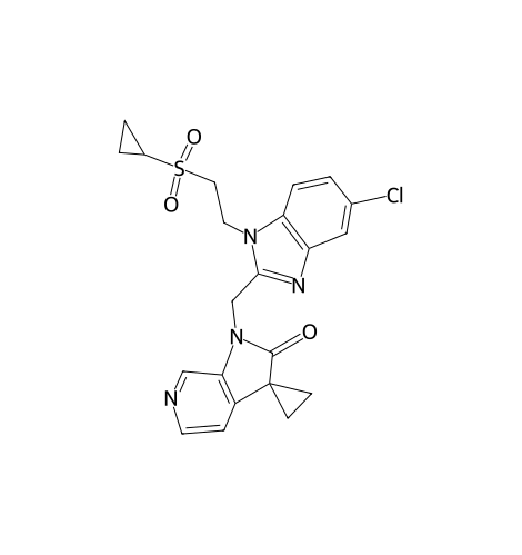 O=C1N(Cc2nc3cc(Cl)ccc3n2CCS(=O)(=O)C2CC2)c2cnccc2C12CC2